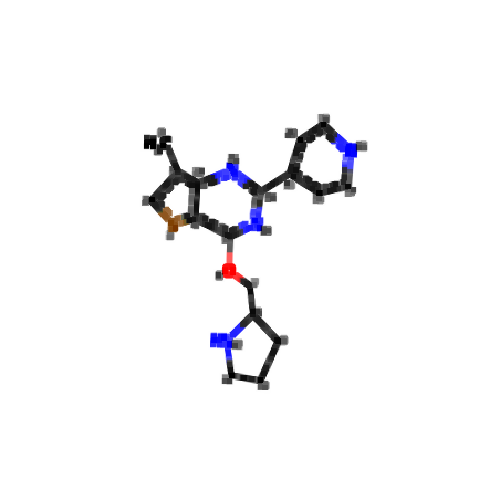 Cc1csc2c(OCC3CCCN3)nc(-c3ccncc3)nc12